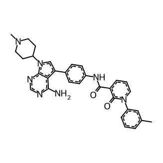 Cc1cccc(-n2cccc(C(=O)Nc3ccc(-c4cn(C5CCN(C)CC5)c5ncnc(N)c45)cc3)c2=O)c1